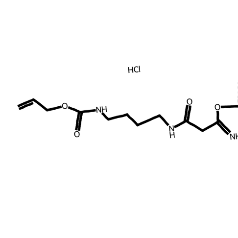 C=CCOC(=O)NCCCCNC(=O)CC(=N)OCC.Cl